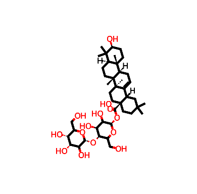 CC1(C)CC[C@]2(C(=O)O[C@H]3OC(CO)[C@H](O[C@H]4OC(CO)[C@@H](O)[C@@H](O)C4O)[C@@H](O)C3O)C(O)C[C@]3(C)C(=CC[C@@H]4[C@@]5(C)CC[C@H](O)C(C)(C)[C@@H]5CC[C@]43C)[C@@H]2C1